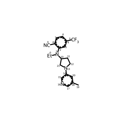 CCN(c1cc(C(F)(F)F)ccc1C#N)C1CCN(c2cncc(C)c2)C1